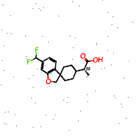 C[C@H](C(=O)O)C1CCC2(CC1)COc1cc(C(F)F)ccc12